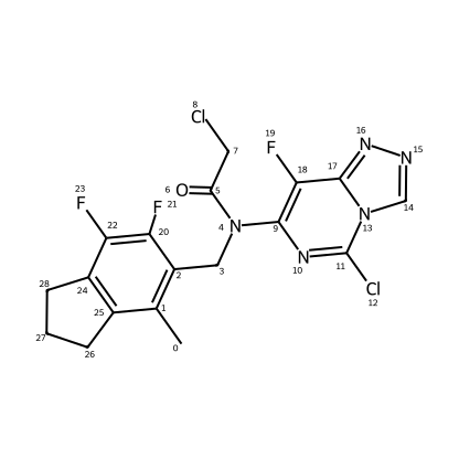 Cc1c(CN(C(=O)CCl)c2nc(Cl)n3cnnc3c2F)c(F)c(F)c2c1CCC2